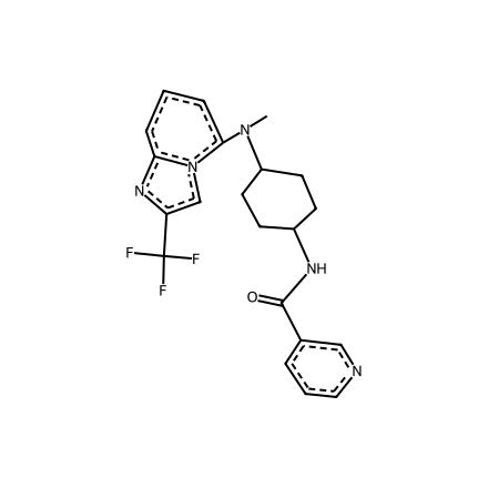 CN(c1cccc2nc(C(F)(F)F)cn12)C1CCC(NC(=O)c2cccnc2)CC1